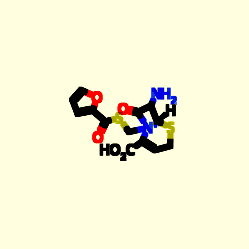 NC1C(=O)[N+]2(CSC(=O)c3ccco3)C(C(=O)O)=CCS[C@@H]12